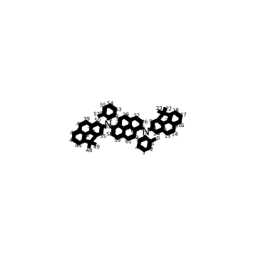 Cc1ccccc1N(c1cc2c3c(ccc4cccc(c43)C2(C)C)c1)c1ccc2ccc3c(N(c4cc5c6c(ccc7cccc(c76)C5(C)C)c4)c4ccccc4C)ccc4ccc1c2c43